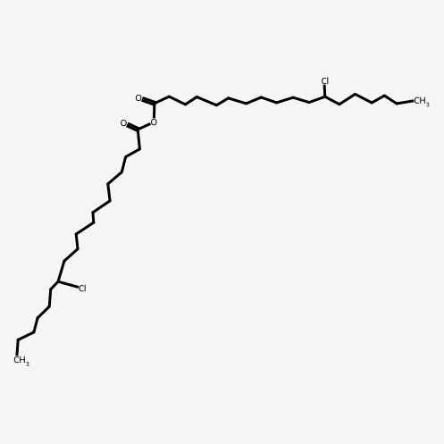 CCCCCCC(Cl)CCCCCCCCCCC(=O)OC(=O)CCCCCCCCCCC(Cl)CCCCCC